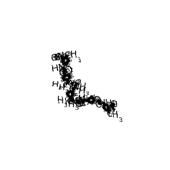 C/C(=N\OC(=O)NC(C)(C)c1cccc(C(C)(C)NC(=O)O/N=C(\C)c2ccc(OC(=O)Nc3ccc(C)c(N=C=O)c3)cc2)c1)c1ccc(OC(=O)Nc2ccc(C)c(N=C=O)c2)cc1